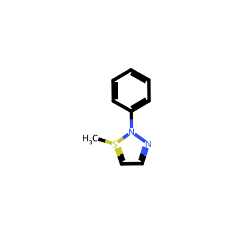 CS1=CC=NN1c1ccccc1